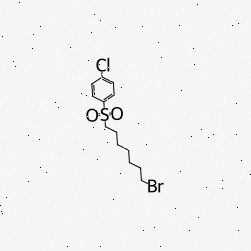 O=S(=O)(CCCCCCCBr)c1ccc(Cl)cc1